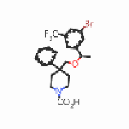 CC(OCC1(c2ccccc2)CCN(C(=O)O)CC1)c1cc(Br)cc(C(F)(F)F)c1